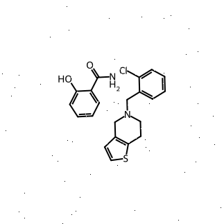 Clc1ccccc1CN1CCc2sccc2C1.NC(=O)c1ccccc1O